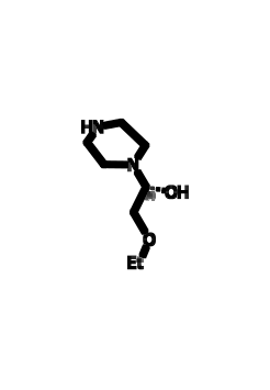 CCOC[C@@H](O)N1CCNCC1